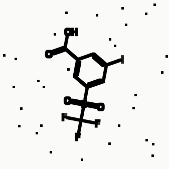 O=C(O)c1cc(I)cc(S(=O)(=O)C(F)(F)F)c1